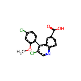 COc1cc(Cl)ccc1-c1c(Cl)cnc2ccc(C(=O)O)cc12